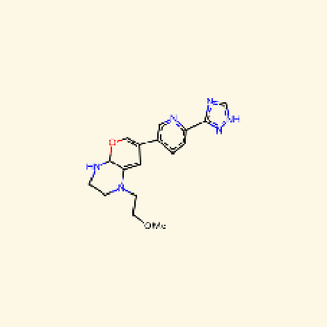 COCCN1CCNC2OC=C(c3ccc(-c4nc[nH]n4)nc3)C=C21